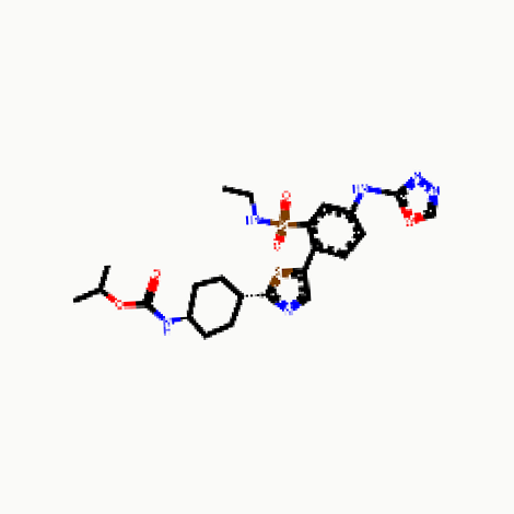 CCNS(=O)(=O)c1cc(Nc2nnco2)ccc1-c1cnc([C@H]2CC[C@H](NC(=O)OC(C)C)CC2)s1